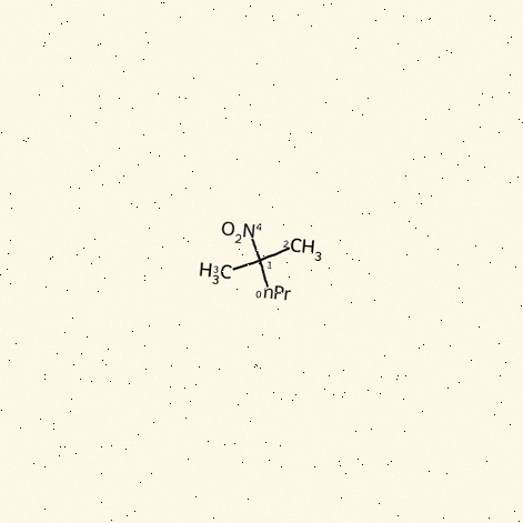 CCCC(C)(C)[N+](=O)[O-]